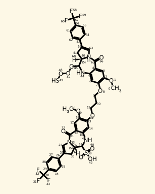 COc1cc2c(cc1OCCCOc1cc3c(cc1OC)C(=O)N1C=C(c4ccc(C(F)(F)F)cc4)C[C@H]1C(S(=O)(=O)O)N3)NC(OOOS)[C@@H]1CC(c3ccc(C(F)(F)F)cc3)=CN1C2=O